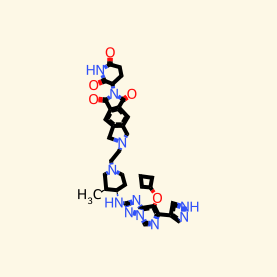 C[C@@H]1CN(CCN2Cc3cc4c(cc3C2)C(=O)N(C2CCC(=O)NC2=O)C4=O)CC[C@@H]1Nc1nc2c(OC3CCC3)c(-c3cn[nH]c3)ncn2n1